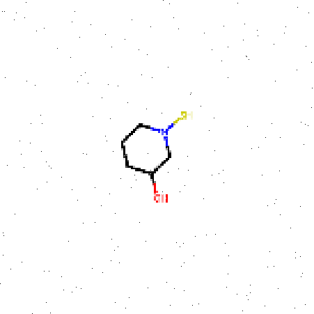 OC1CCCN(S)C1